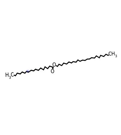 CCCCCC/C=C/CCCCCCCCCC(=O)OCCCCCCCCCCCCCCCCCCCCCCCC